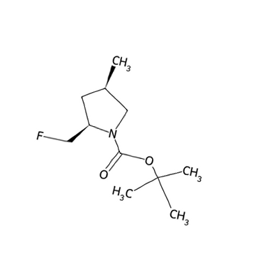 C[C@@H]1C[C@H](CF)N(C(=O)OC(C)(C)C)C1